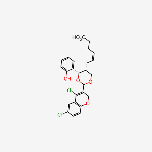 O=C(O)CC/C=C\C[C@@H]1COC(C2=C(Cl)c3cc(Cl)ccc3OC2)O[C@@H]1c1ccccc1O